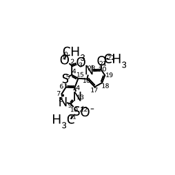 COC(=O)c1sc2cnc([S+](C)[O-])nc2c1-c1cccc(OC)n1